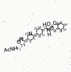 CC(=O)NC[C@H]1CC(c2ccc(-c3ccc(CNOCc4ccccc4C(=O)O)cc3)nc2)=NO1